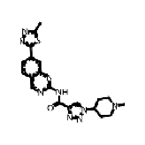 Cc1nnc(-c2ccc3cnc(NC(=O)c4cn(C5CCN(C)CC5)nn4)nc3c2)s1